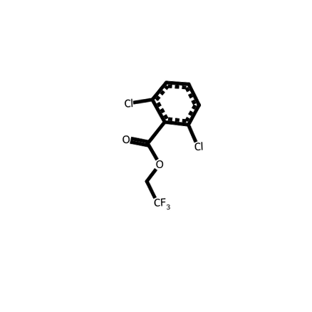 O=C(OCC(F)(F)F)c1c(Cl)cccc1Cl